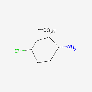 CC(=O)O.NC1CCC(Cl)CC1